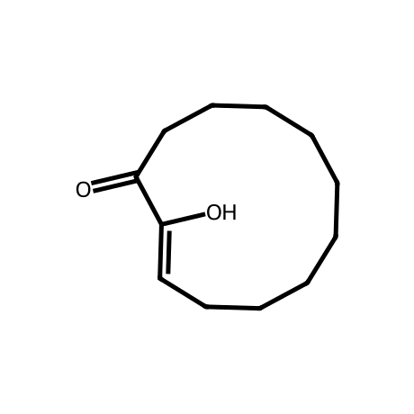 O=C1CCCCCCCCC/C=C/1O